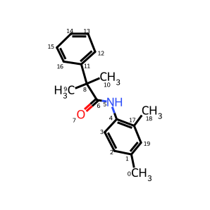 Cc1ccc(NC(=O)C(C)(C)c2ccccc2)c(C)c1